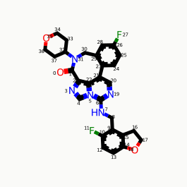 O=C1c2ncn3c(NCc4c(F)ccc5c4CCO5)ncc(c23)-c2ccc(F)cc2CN1C1CCOCC1